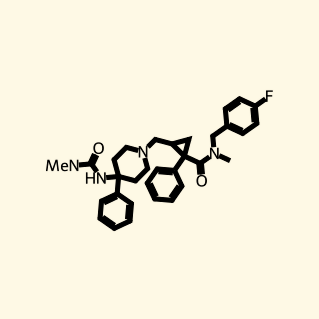 CNC(=O)NC1(c2ccccc2)CCN(CC2CC2(C(=O)N(C)Cc2ccc(F)cc2)c2ccccc2)CC1